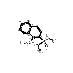 CCOP(=O)(OCC)C1C=Cc2ccccc2N1C(=O)O